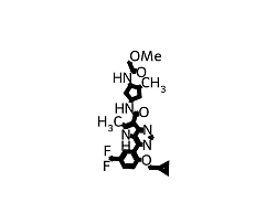 COCC(=O)NC1CC(NC(=O)c2c(C)[nH]c3c(-c4cc(C(F)F)ccc4OCC4CC4)ncnc23)CC1C